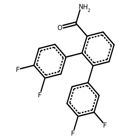 NC(=O)c1cccc(-c2ccc(F)c(F)c2)c1-c1ccc(F)c(F)c1